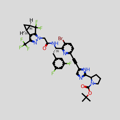 CC(C)(C)OC(=O)N1CCCC1c1ncc(C#Cc2ccc(Br)c([C@H](Cc3cc(F)cc(F)c3)NC(=O)Cn3nc(C(F)(F)F)c4c3C(F)(F)[C@@H]3C[C@H]43)n2)[nH]1